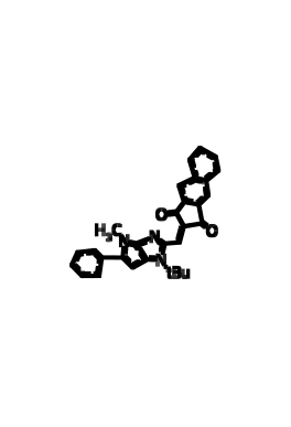 Cn1c(-c2ccccc2)cc2c1nc(C=C1C(=O)c3cc4ccccc4cc3C1=O)n2C(C)(C)C